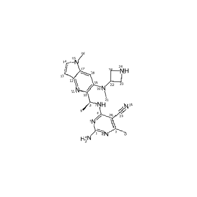 Cc1nc(N)nc(N[C@@H](C)c2nc3ccn(C)c3cc2N(C)C2CNC2)c1C#N